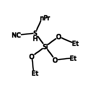 CCC[SH](C#N)[Si](OCC)(OCC)OCC